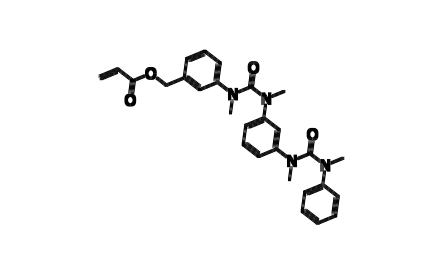 C=CC(=O)OCc1cccc(N(C)C(=O)N(C)c2cccc(N(C)C(=O)N(C)c3ccccc3)c2)c1